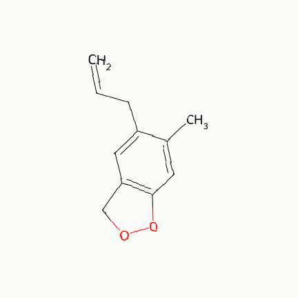 C=CCc1cc2c(cc1C)OOC2